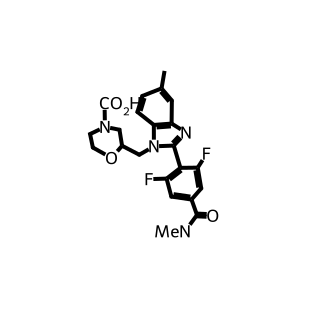 CNC(=O)c1cc(F)c(-c2nc3cc(C)ccc3n2CC2CN(C(=O)O)CCO2)c(F)c1